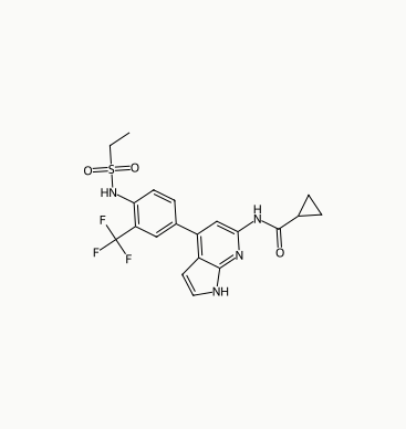 CCS(=O)(=O)Nc1ccc(-c2cc(NC(=O)C3CC3)nc3[nH]ccc23)cc1C(F)(F)F